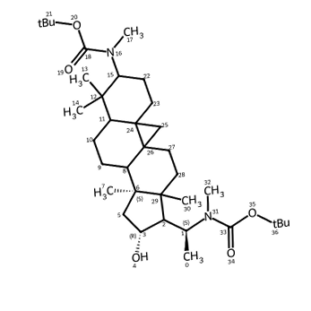 C[C@@H](C1[C@H](O)C[C@@]2(C)C3CCC4C(C)(C)C(N(C)C(=O)OC(C)(C)C)CCC45CC35CCC12C)N(C)C(=O)OC(C)(C)C